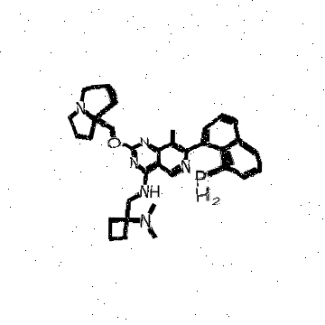 Cc1c(-c2cccc3cccc(P)c23)ncc2c(NCC3(N(C)C)CCC3)nc(OCC34CCCN3CCC4)nc12